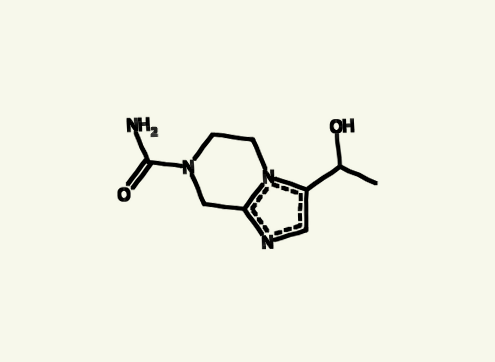 CC(O)c1cnc2n1CCN(C(N)=O)C2